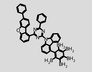 Bc1c(B)c(B)c(-c2cccc3c2c2ccccc2n3-c2nc(-c3ccccc3)nc(-c3cccc4oc5cc(-c6ccccc6)ccc5c34)n2)c(B)c1B